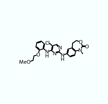 COCCOc1ccccc1Nc1nc(Nc2ccc3c(c2)CCOC(=O)N3C)ncc1Cl